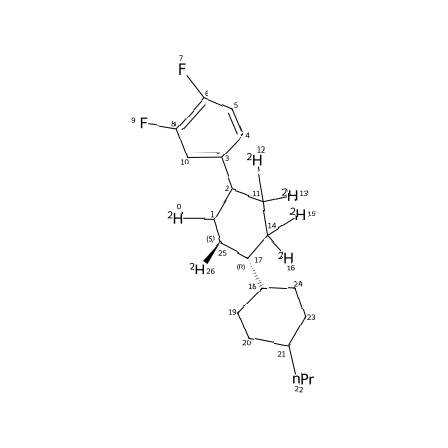 [2H]C1C(c2ccc(F)c(F)c2)C([2H])([2H])C([2H])([2H])[C@H](C2CCC(CCC)CC2)[C@H]1[2H]